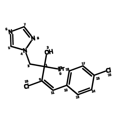 CC(C)C(O)(Cn1cncn1)/C(Cl)=C\c1ccc(Cl)cc1